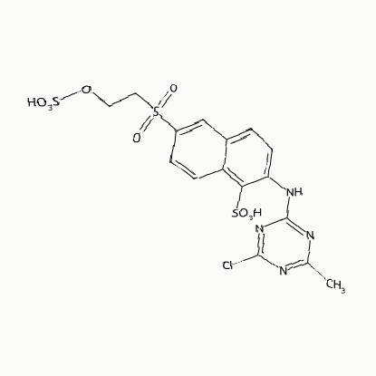 Cc1nc(Cl)nc(Nc2ccc3cc(S(=O)(=O)CCOS(=O)(=O)O)ccc3c2S(=O)(=O)O)n1